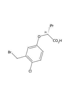 CC(C)[C@@H](Oc1ccc(Cl)c(CBr)c1)C(=O)O